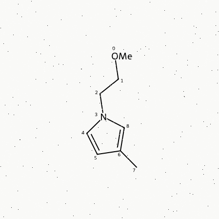 COCCn1ccc(C)c1